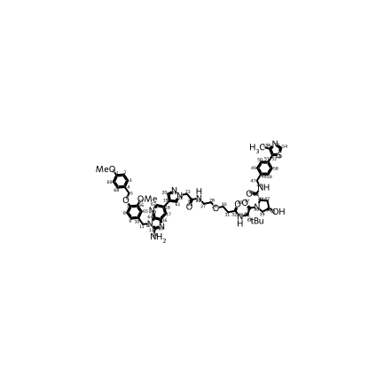 COc1ccc(COc2ccc(Cn3c(N)nc4cc(-c5cnn(CC(=O)NCCOCCC(=O)N[C@H](C(=O)N6C[C@H](O)C[C@H]6C(=O)NCc6ccc(-c7scnc7C)cc6)C(C)(C)C)c5)cnc43)cc2OC)cc1